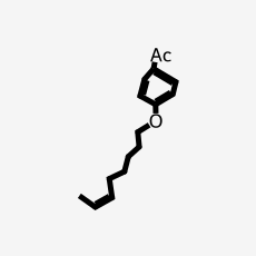 C/C=C\CCCCCOc1ccc(C(C)=O)cc1